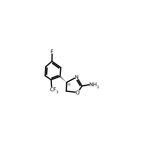 NC1=N[C@@H](c2cc(F)ccc2C(F)(F)F)CO1